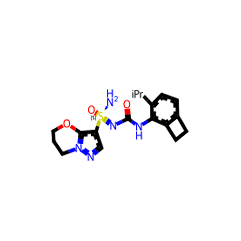 CC(C)c1ccc2c(c1NC(=O)N=[S@](N)(=O)c1cnn3c1OCCC3)CC2